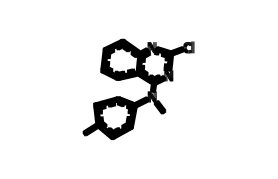 Cc1ccc(N(C)c2nc(Cl)nc3ccccc23)cc1